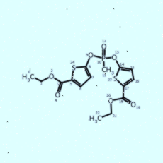 CCOC(=O)c1ccc(OP(C)(=O)Oc2ccc(C(=O)OCC)s2)s1